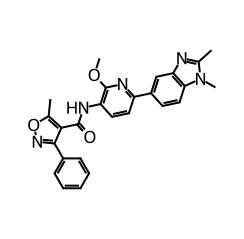 COc1nc(-c2ccc3c(c2)nc(C)n3C)ccc1NC(=O)c1c(-c2ccccc2)noc1C